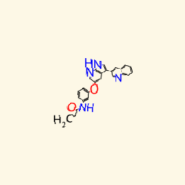 C=CC(=O)Nc1cccc(Oc2cnc3[nH]cc(-c4cnc5ccccc5c4)c3c2)c1